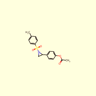 CC(=O)Oc1ccc(C2CN2S(=O)(=O)c2ccc(C)cc2)cc1